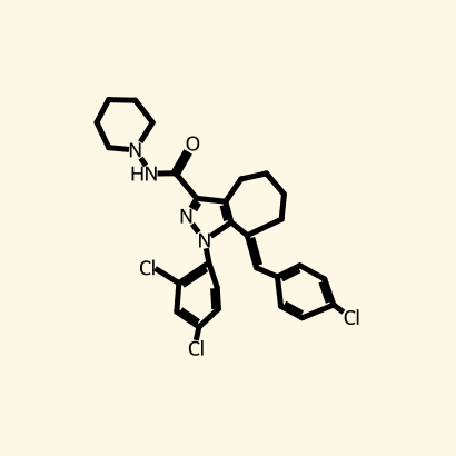 O=C(NN1CCCCC1)c1nn(-c2ccc(Cl)cc2Cl)c2c1CCCCC2=Cc1ccc(Cl)cc1